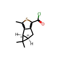 Cc1sc(C(=O)Cl)c2c1[C@H]1[C@@H](C2)C1(C)C